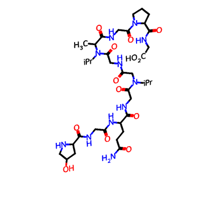 CC(C)N(CC(=O)NCC(=O)N(C(C)C)C(C)C(=O)NCC(=O)N1CCCC1C(=O)NCC(=O)O)C(=O)CNC(=O)C(CCC(N)=O)NC(=O)CNC(=O)C1CC(O)CN1